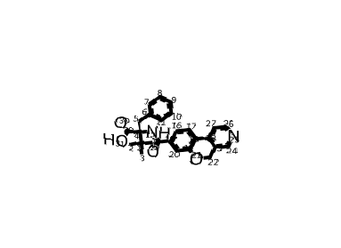 CC(C)(C)[C@@](Cc1ccccc1)(NC(=O)c1ccc2c(c1)OCc1cnccc1-2)C(=O)O